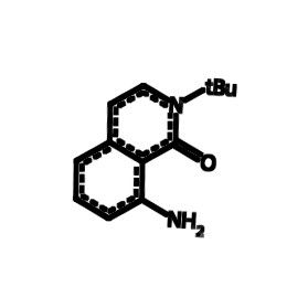 CC(C)(C)n1ccc2cccc(N)c2c1=O